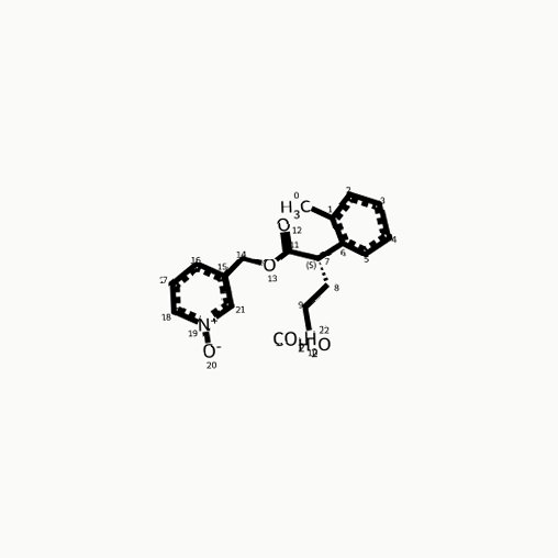 Cc1ccccc1[C@H](CCC(=O)O)C(=O)OCc1ccc[n+]([O-])c1.O